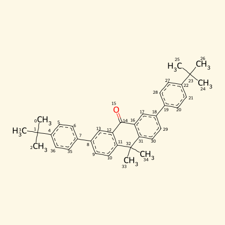 CC(C)(C)c1ccc(-c2ccc3c(c2)C(=O)c2cc(-c4ccc(C(C)(C)C)cc4)ccc2C3(C)C)cc1